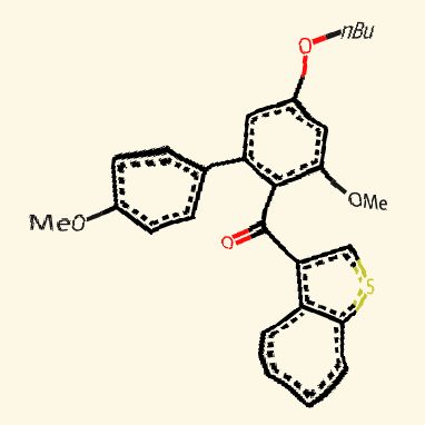 CCCCOc1cc(OC)c(C(=O)c2csc3ccccc23)c(-c2ccc(OC)cc2)c1